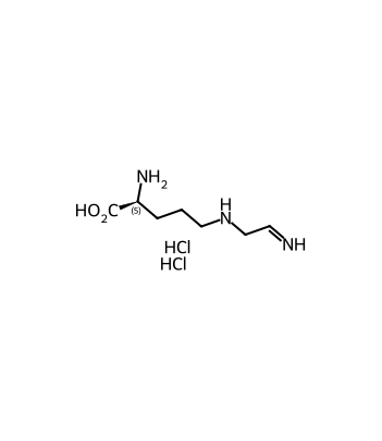 Cl.Cl.N=CCNCCC[C@H](N)C(=O)O